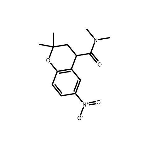 CN(C)C(=O)C1CC(C)(C)Oc2ccc([N+](=O)[O-])cc21